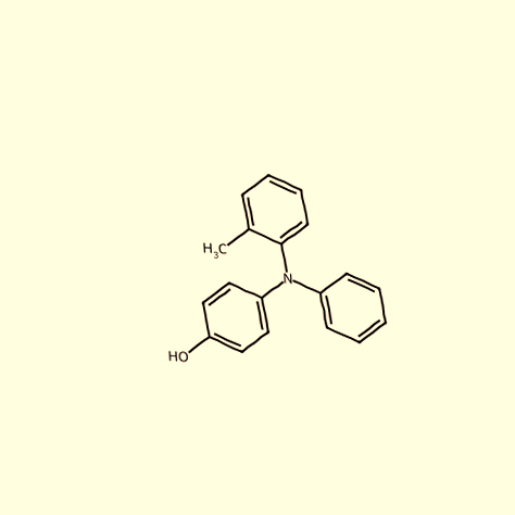 Cc1ccccc1N(c1ccccc1)c1ccc(O)cc1